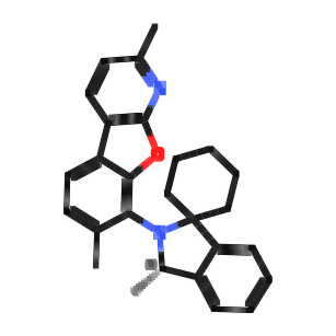 Cc1ccc2c(n1)oc1c(N3[C@@H](C)c4ccccc4C34CCCCC4)c(C)ccc12